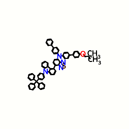 CC(C)COc1ccc(-c2ccc(N(c3ccc(-c4ccccc4)cc3)c3ccc(-c4cccc5c4c4ccccc4n5-c4ccc(C(c5ccccc5)(c5ccccc5)c5ccccc5)cc4)c4nsnc34)cc2)cc1